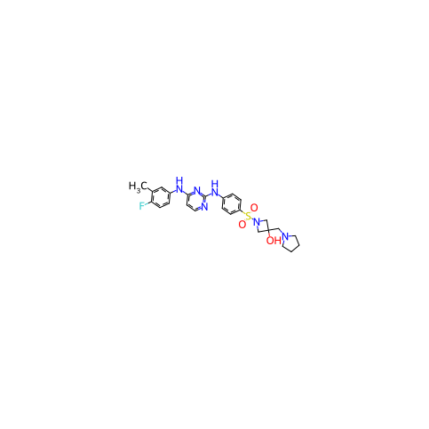 Cc1cc(Nc2ccnc(Nc3ccc(S(=O)(=O)N4CC(O)(CN5CCCC5)C4)cc3)n2)ccc1F